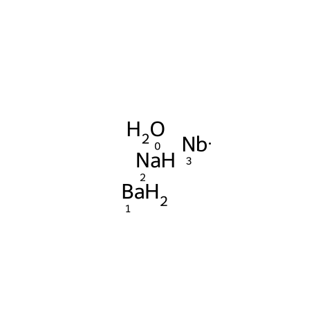 O.[BaH2].[NaH].[Nb]